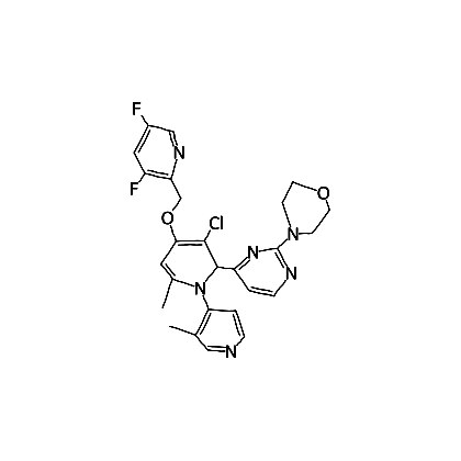 CC1=CC(OCc2ncc(F)cc2F)=C(Cl)C(c2ccnc(N3CCOCC3)n2)N1c1ccncc1C